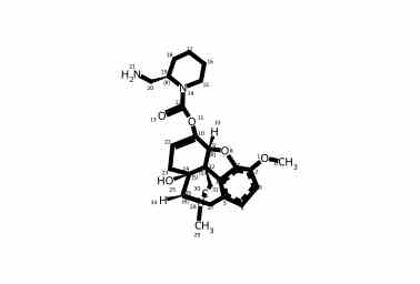 COc1ccc2c3c1O[C@H]1C(OC(=O)N4CCCC[C@@H]4CN)=CC[C@@]4(O)[C@@H](C2)N(C)CC[C@]314